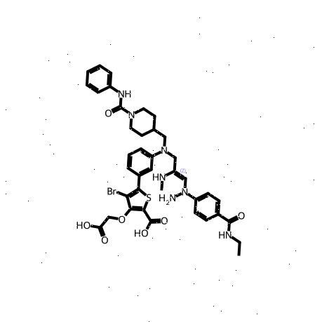 CCNC(=O)c1ccc(N(N)/C=C(/CN(CC2CCN(C(=O)Nc3ccccc3)CC2)c2cccc(-c3sc(C(=O)O)c(OCC(=O)O)c3Br)c2)NC)cc1